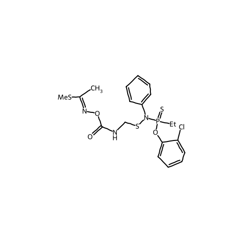 CCP(=S)(Oc1ccccc1Cl)N(SCNC(=O)O/N=C(\C)SC)c1ccccc1